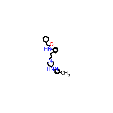 Cc1ccc(NC2CCN(CCCc3ccccc3NC(=O)CC3CCCCC3)CC2)nc1